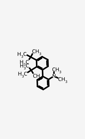 CN(C)c1ccccc1-c1cccc(C(C)(C)C)c1C(C)(C)C